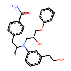 CC[C@@H](Cc1ccc(C(N)=O)cc1)N(C[C@H](O)COc1ccccc1)c1cccc(CCO)c1